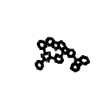 c1ccc(-c2nc(-c3ccccc3)nc(-c3cccc(-n4c5cc(-n6c7ccccc7c7ccccc76)ccc5c5ccc6c7ccccc7sc6c54)c3)n2)cc1